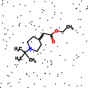 CCOC(=O)C=C1CCN(C(C)(C)C)CC1